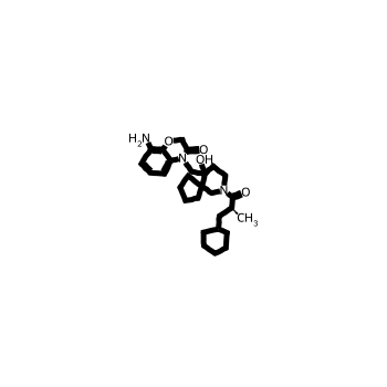 C[C@H](CC1CCCCC1)C(=O)N1CCC(O)(CN2C(=O)COc3c(N)cccc32)C2(CCCC2)C1